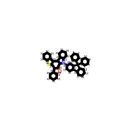 c1ccc(C2(c3ccccc3)c3ccccc3-c3ccc(-n4c5ccccc5c5c6c7ccccc7sc6c6c7ccccc7oc6c54)cc32)cc1